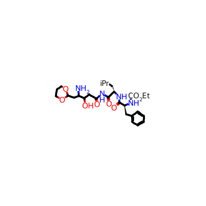 CCOC(=O)N[C@@H](Cc1ccccc1)C(=O)N[C@@H](CC(C)C)C(=O)NC(=O)CC(O)C(N)CC1OCCCO1